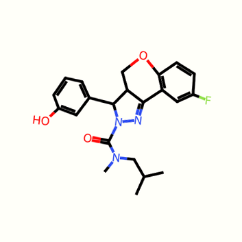 CC(C)CN(C)C(=O)N1N=C2c3cc(F)ccc3OCC2C1c1cccc(O)c1